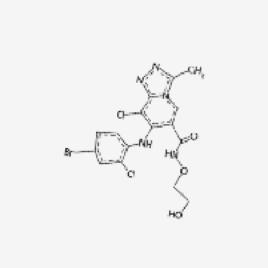 Cc1nnc2c(Cl)c(Nc3ccc(Br)cc3Cl)c(C(=O)NOCCO)cn12